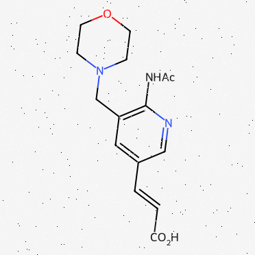 CC(=O)Nc1ncc(/C=C/C(=O)O)cc1CN1CCOCC1